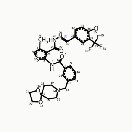 Cc1csc(NC(=O)c2cccc(CN3CCC4(CC3)OCCO4)c2)c1C(=O)N/N=C/c1ccc(Cl)c(C(F)(F)F)c1